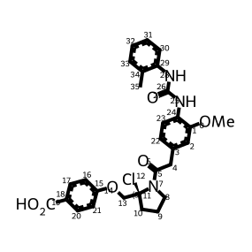 COc1cc(CC(=O)N2CCC[C@]2(Cl)COc2ccc(C(=O)O)cc2)ccc1NC(=O)Nc1ccccc1C